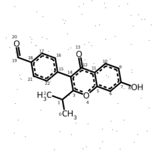 CC(C)c1oc2cc(O)ccc2c(=O)c1-c1ccc(C=O)cc1